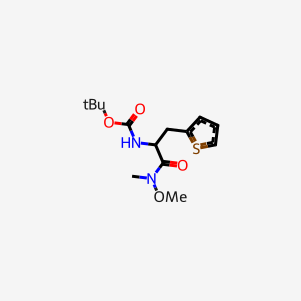 CON(C)C(=O)C(Cc1cccs1)NC(=O)OC(C)(C)C